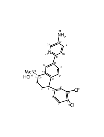 CN[C@H]1CCC(c2ccc(Cl)c(Cl)c2)c2ccc(-c3ccc(N)cn3)cc21.Cl